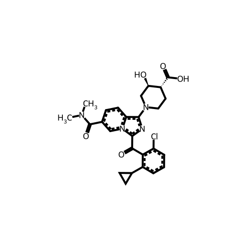 CN(C)C(=O)c1ccc2c(N3CC[C@@H](C(=O)O)[C@H](O)C3)nc(C(=O)c3c(Cl)cccc3C3CC3)n2c1